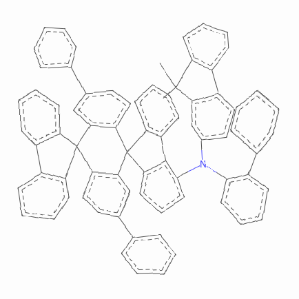 CC1(C)c2ccccc2-c2ccc(N(c3ccccc3-c3ccccc3)c3cccc4c3-c3ccccc3C43c4ccc(-c5ccccc5)cc4C4(c5ccccc5-c5ccccc54)c4ccc(-c5ccccc5)cc43)cc21